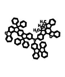 CC1(C)c2cc(N(c3ccc4c(c3)C(c3ccccc3)(c3ccccc3)c3cc5c(cc3-4)C(c3ccccc3)(c3ccccc3)c3ccc4oc6ccccc6c4c3-5)c3ccc4c(c3)C3(c5ccccc5-c5ccccc53)c3ccccc3-4)ccc2-c2c1c1c(c3c2oc2ccccc23)-c2ccccc2C1(C)C